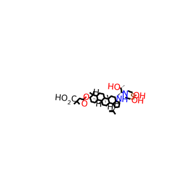 C=C(C)[C@@H]1CC[C@]2(NC[C@H]([C@@H](C)O)N3CCS(O)(O)CC3)CC[C@]3(C)[C@H](CC[C@@H]4[C@@]5(C)CC[C@H](OC(=O)CC(C)(C)C(=O)O)C(C)(C)[C@@H]5CC[C@]43C)[C@@H]12